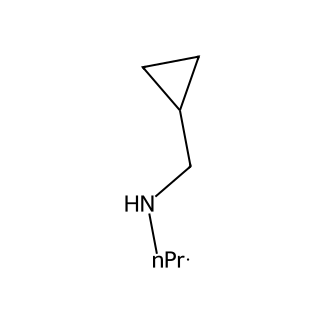 CC[CH]NCC1CC1